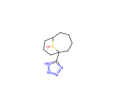 [O-][S+]1C2CCCCC1(c1nnn[nH]1)CCC2